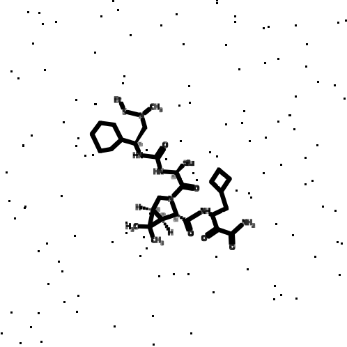 CCSN(C)C[C@@H](NC(=O)N[C@H](C(=O)N1C[C@H]2[C@@H]([C@H]1C(=O)NC(CC1CCC1)C(=O)C(N)=O)C2(C)C)C(C)(C)C)C1CCCCC1